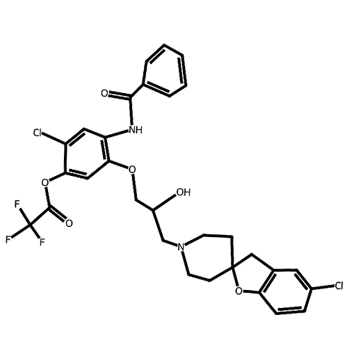 O=C(Nc1cc(Cl)c(OC(=O)C(F)(F)F)cc1OCC(O)CN1CCC2(CC1)Cc1cc(Cl)ccc1O2)c1ccccc1